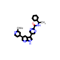 COc1cc(-c2cnc3[nH]cc(-c4cnc(C(=O)NC(C)c5ccccc5)nc4)c3c2)ccn1